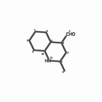 CC1CC(C=O)C2CCCCC2N1